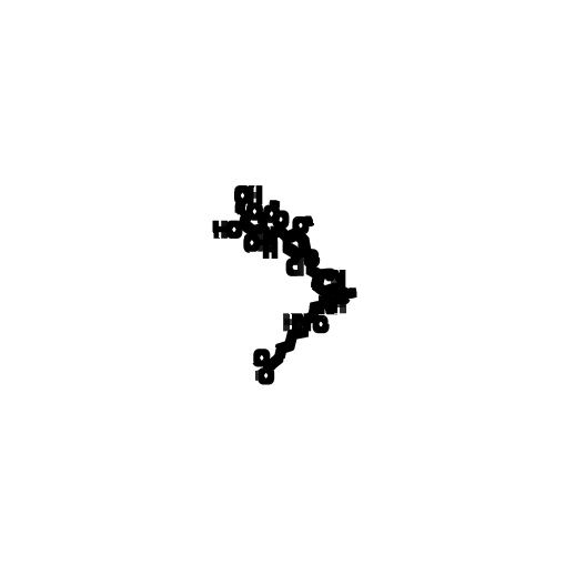 COC(=O)CCCCCNC(=O)CNc1cc(COc2cc(OC)c(C(=O)N[C@H]3[C@@H](OC)O[C@H](CO)[C@@H](O)[C@@H]3O)cc2Cl)cnc1OC